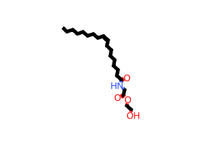 CCCCCCCC/C=C\CCCCCCCC(=O)NCC(=O)OCCO